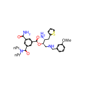 CCCN(CCC)C(=O)c1cc(C(N)=O)cc(C(=O)O[C@H](CNCc2cccc(OC)c2)[C@H](N)Cc2cccs2)c1